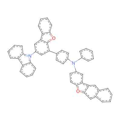 c1ccc(N(c2ccc(-c3cc(-n4c5ccccc5c5ccccc54)cc4c3oc3ccccc34)cc2)c2ccc3oc4cc5ccccc5cc4c3c2)cc1